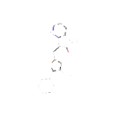 Cc1cc(C=C2C(=O)Nc3cccnc32)sc1C1CCCCC1